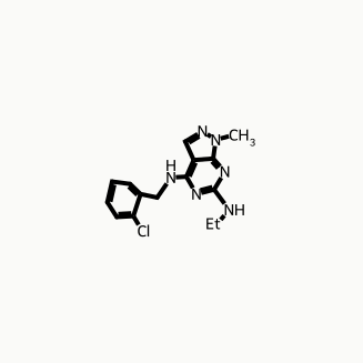 CCNc1nc(NCc2ccccc2Cl)c2cnn(C)c2n1